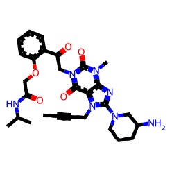 CC#CCn1c(N2CCCC(N)C2)nc2c1c(=O)n(CC(=O)c1ccccc1OCC(=O)NC(C)C)c(=O)n2C